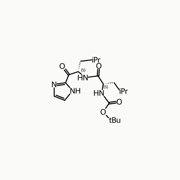 CC(C)C[C@H](NC(=O)OC(C)(C)C)C(=O)N[C@@H](CC(C)C)C(=O)c1ncc[nH]1